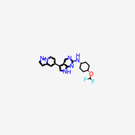 FC(F)O[C@H]1CC[C@H](Nc2ncc3c(-c4ccn5nccc5c4)c[nH]c3n2)CC1